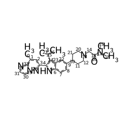 Cc1cc(-c2[nH]c3ccc(C4CCN(CC(=O)N(C)C)CC4)cc3c2C(C)C)nn2ccnc12